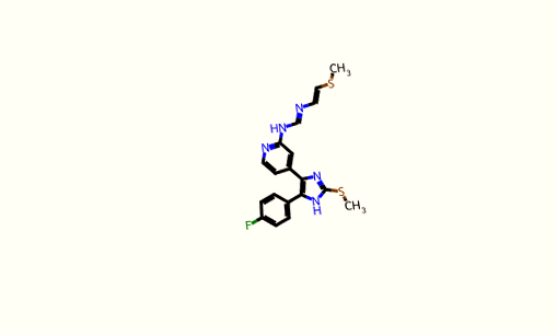 CSC=CN=CNc1cc(-c2nc(SC)[nH]c2-c2ccc(F)cc2)ccn1